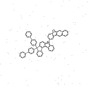 c1ccc(-c2ccc(C3(c4ccc(-c5ccccc5)cc4)c4ccccc4-c4c3ccc3c4c4ccccc4n3-c3ccc4oc5cc6ccccc6cc5c4c3)cc2)cc1